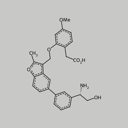 COc1ccc(CC(=O)O)c(OCc2c(C)oc3ccc(-c4cccc([C@H](N)CO)c4)cc23)c1